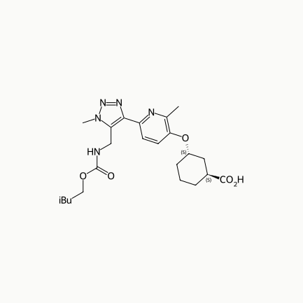 CCC(C)COC(=O)NCc1c(-c2ccc(O[C@H]3CCC[C@H](C(=O)O)C3)c(C)n2)nnn1C